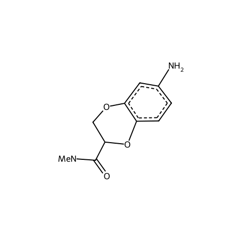 CNC(=O)C1COc2cc(N)ccc2O1